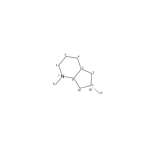 C[C@H]1CC2CCCN(C)C2C1